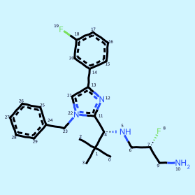 CC(C)(C)[C@@H](NC[C@H](F)CN)c1nc(-c2cccc(F)c2)cn1Cc1ccccc1